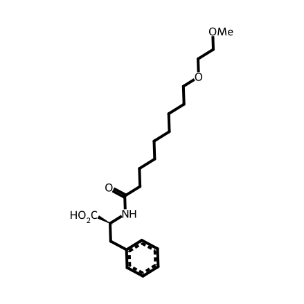 COCCOCCCCCCCCC(=O)N[C@@H](Cc1ccccc1)C(=O)O